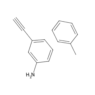 C#Cc1cccc(N)c1.Cc1ccccc1